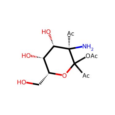 CC(=O)OC1(C(C)=O)O[C@H](CO)[C@H](O)[C@H](O)[C@]1(N)C(C)=O